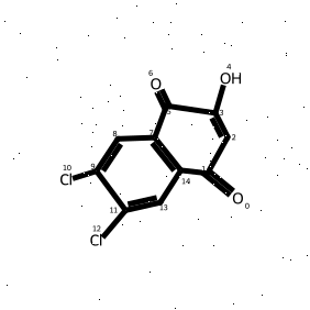 O=C1C=C(O)C(=O)c2cc(Cl)c(Cl)cc21